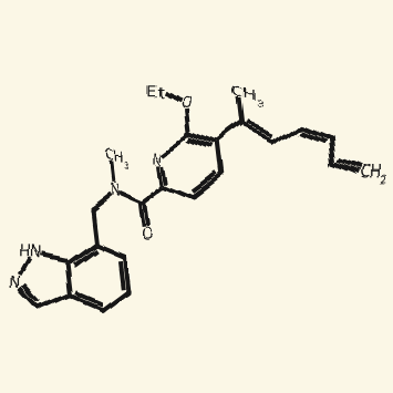 C=C/C=C\C=C(/C)c1ccc(C(=O)N(C)Cc2cccc3cn[nH]c23)nc1OCC